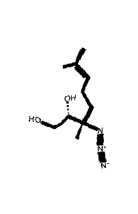 CC(C)=CCC[C@](C)(N=[N+]=[N-])[C@@H](O)CO